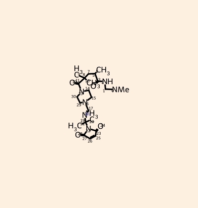 CNCNC(=O)C(C)CC(C)(C)C(=O)N1CCN(/C=N/C(C)(C)N2C(=O)C=CC2=O)CC1